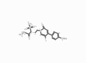 COc1ccc(-c2cc(=O)n(CC[C@H](C(=O)NO)S(C)(=O)=O)cc2F)cc1